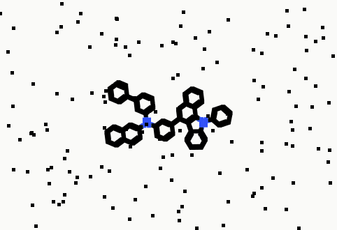 c1cccc(-c2cccc(N(c3cccc(-c4cc5ccccc5c5c4c4ccccc4n5-c4ccccc4)c3)c3ccc4ccccc4c3)c2)c#1